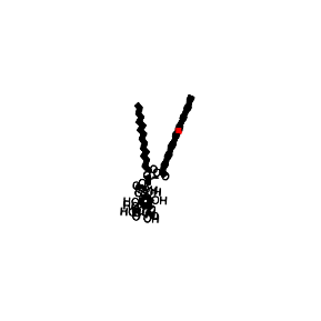 C#CC#CC#CC#CC#CC#CC#CC#CC(=O)OC[C@H](COP(=O)(O)OC1C(O)[C@@H](O)C(OP(=O)(O)O)[C@@H](OP(=O)(O)O)[C@H]1O)OC(=O)CCCCCCCCCCCCCCC